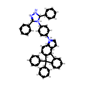 c1ccc(C2=NNC(c3ccccc3)N2c2ccc(-n3ccc4c5c(ccc43)C(c3ccccc3)(c3ccccc3)c3ccccc3-5)cc2)cc1